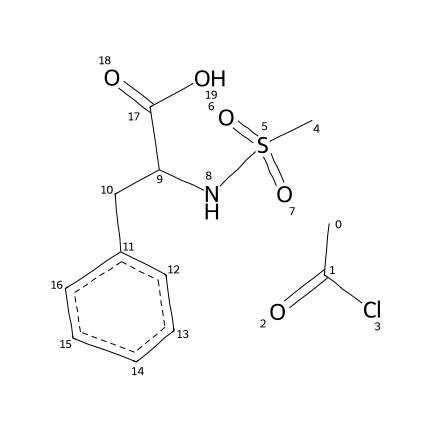 CC(=O)Cl.CS(=O)(=O)NC(Cc1ccccc1)C(=O)O